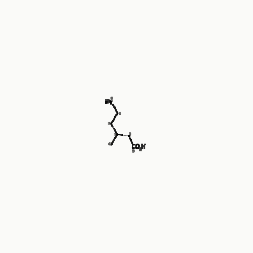 CC(C)CCC(C)CC(=O)O